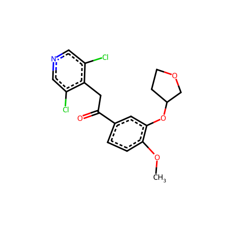 COc1ccc(C(=O)Cc2c(Cl)cncc2Cl)cc1OC1CCOC1